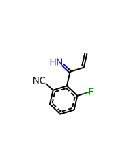 C=CC(=N)c1c(F)cccc1C#N